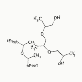 CC(O)COC(C)COC(C)CO.CCCCCC(C)OC(C)CCCCC